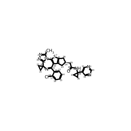 Cc1nnc2n1-c1sc3c(c1C(c1ccccc1Cl)=NC21CC1)C[C@H](CC(=O)NC1(c2cncnc2)CC1)C3